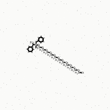 CC[SiH2]O[SiH2]O[SiH2]O[SiH2]O[SiH2]O[SiH2]O[SiH2]O[SiH2]O[SiH2]O[SiH2]O[SiH2]O[Si](CC)(Cc1ccccc1)C(CC)c1ccccc1